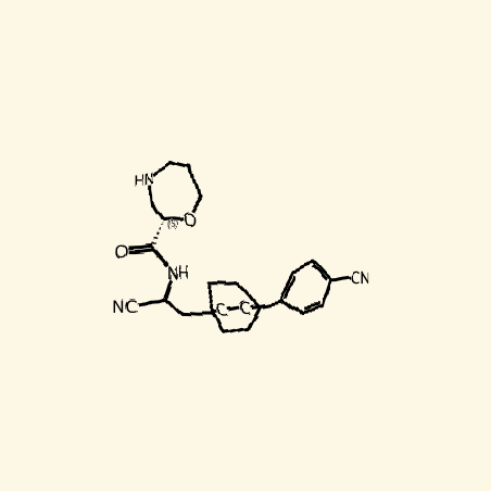 N#Cc1ccc(C23CCC(CC(C#N)NC(=O)[C@@H]4CNCCCO4)(CC2)CC3)cc1